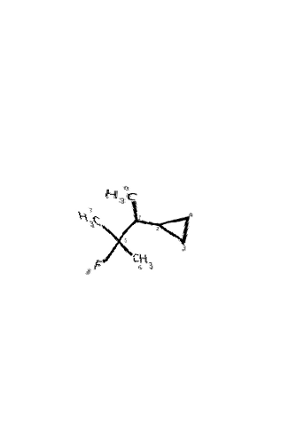 CC(C1CC1)C(C)(C)F